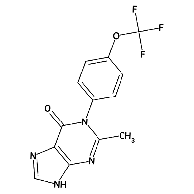 Cc1nc2[nH]cnc2c(=O)n1-c1ccc(OC(F)(F)F)cc1